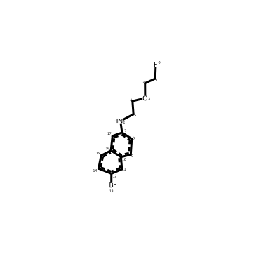 FCCOCCNc1ccc2cc(Br)ccc2c1